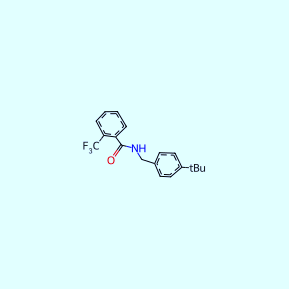 CC(C)(C)c1ccc(CNC(=O)c2ccccc2C(F)(F)F)cc1